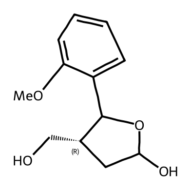 COc1ccccc1C1OC(O)C[C@@H]1CO